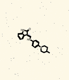 CC1CCN(c2ccc(N/C=C3/C(=O)Nc4ccccc43)cc2)CC1